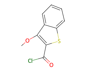 COc1c(C(=O)Cl)sc2ccccc12